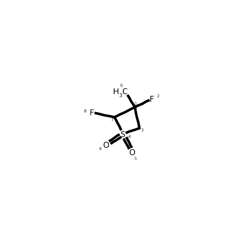 CC1(F)CS(=O)(=O)C1F